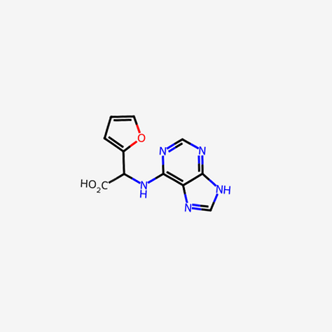 O=C(O)C(Nc1ncnc2[nH]cnc12)c1ccco1